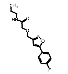 CCCNC(=O)COCc1cc(-c2ccc(F)cc2)on1